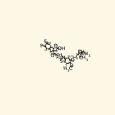 COc1cc2sc(CNC(=O)C3(CC(=O)O)Cc4cc(F)c(F)cc4C3)nc2cc1OCCC[N+](C)(C)C